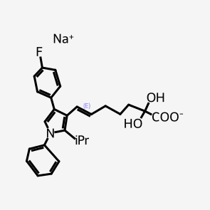 CC(C)c1c(/C=C/CCCC(O)(O)C(=O)[O-])c(-c2ccc(F)cc2)cn1-c1ccccc1.[Na+]